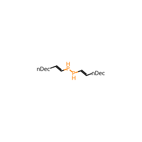 CCCCCCCCCCC=CPPC=CCCCCCCCCCC